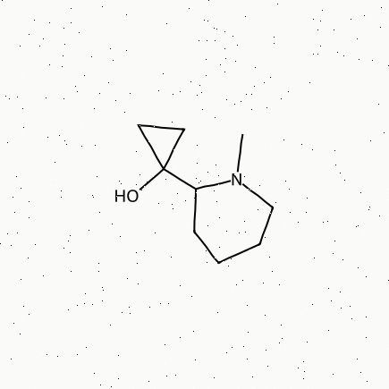 CN1CCCCC1C1(O)CC1